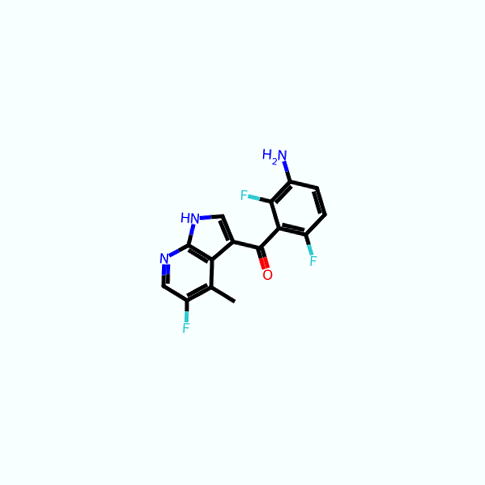 Cc1c(F)cnc2[nH]cc(C(=O)c3c(F)ccc(N)c3F)c12